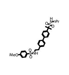 CCCNS(=O)(=O)C(C)(C)c1ccc(-c2ccc(CCNS(=O)(=O)c3ccc(OC)cc3)cc2)cc1